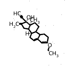 C#C[C@]1(O)C(=C)CC2[C@@H]3CC=C4C=C(OCC)CCC4C3CC[C@@]21C